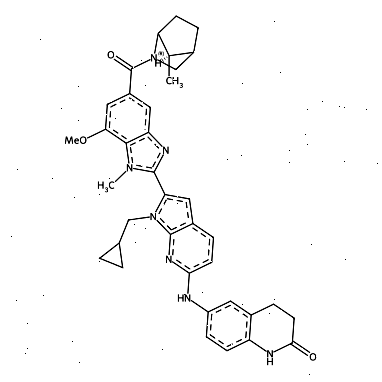 COc1cc(C(=O)N2CC3CCC2[C@@H]3C)cc2nc(-c3cc4ccc(Nc5ccc6c(c5)CCC(=O)N6)nc4n3CC3CC3)n(C)c12